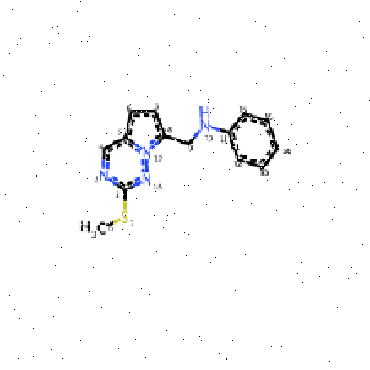 CSc1ncc2ccc(CNc3ccccc3)n2n1